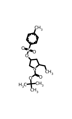 CCC1CC(OS(=O)(=O)c2ccc(C)cc2)CN1C(=O)OC(C)(C)C